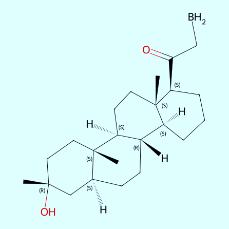 BCC(=O)[C@H]1CCC[C@H]2[C@@H]3CC[C@H]4C[C@](C)(O)CC[C@]4(C)[C@H]3CC[C@]12C